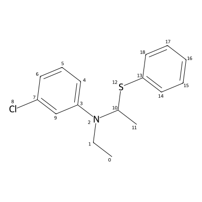 CCN(c1cccc(Cl)c1)C(C)Sc1ccccc1